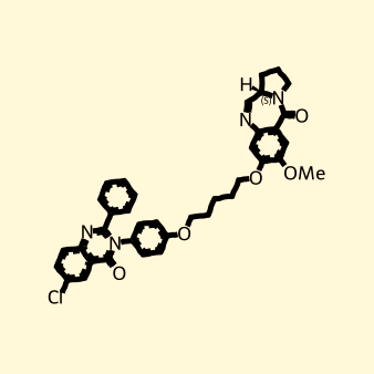 COc1cc2c(cc1OCCCCCOc1ccc(-n3c(-c4ccccc4)nc4ccc(Cl)cc4c3=O)cc1)N=C[C@@H]1CCCN1C2=O